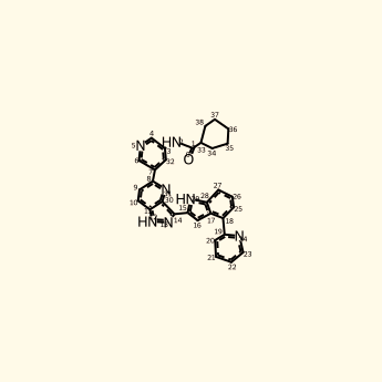 O=C(Nc1cncc(-c2ccc3[nH]nc(-c4cc5c(-c6ccccn6)cccc5[nH]4)c3n2)c1)C1CCCCC1